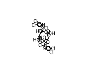 O=P1(O)OCC2OC(n3c(Cl)nc4cc(Cl)c(Cl)cc43)C(OP(=O)(O)OCC3OC(n4c(Cl)nc5cc(Cl)c(Cl)cc54)C(O1)C3O)C2O